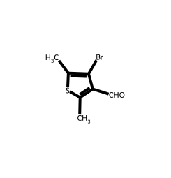 Cc1sc(C)c(C=O)c1Br